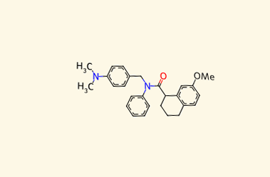 COc1ccc2c(c1)C(C(=O)N(Cc1ccc(N(C)C)cc1)c1ccccc1)CCC2